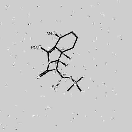 CO[C@H]1CCC[C@H]2C1=C(C(=O)O)N1C(=O)[C@H]([C@H](O[Si](C)(C)C)C(F)(F)F)[C@@H]21